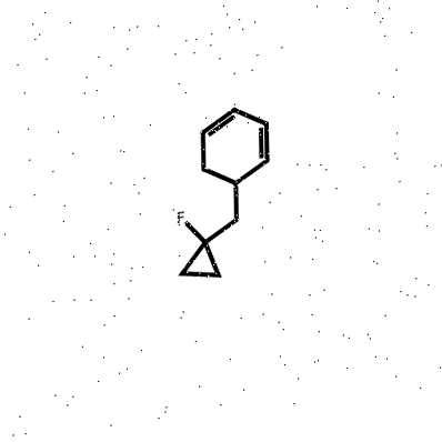 FC1(CC2C=CC=CC2)CC1